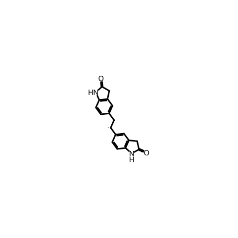 O=C1Cc2cc([CH]Cc3ccc4c(c3)CC(=O)N4)ccc2N1